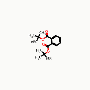 CCCCC(C)(C)OC(=O)c1ccccc1C(=O)OC(C)(C)CCCC